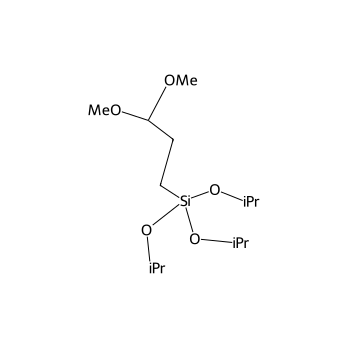 COC(CC[Si](OC(C)C)(OC(C)C)OC(C)C)OC